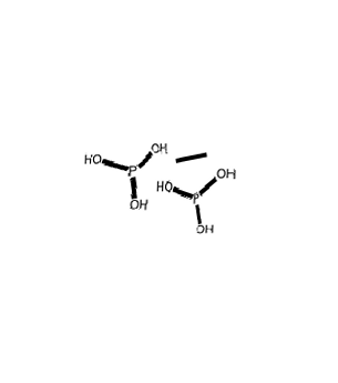 CC.OP(O)O.OP(O)O